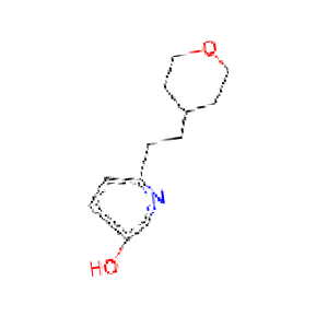 Oc1ccc(CCC2CCOCC2)nc1